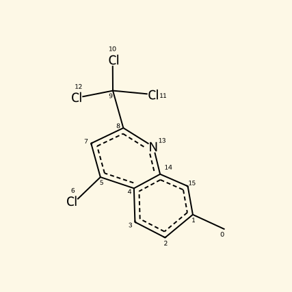 Cc1ccc2c(Cl)cc(C(Cl)(Cl)Cl)nc2c1